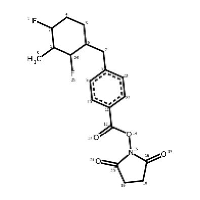 CC1C(F)CCC(Cc2ccc(C(=O)ON3C(=O)CCC3=O)cc2)C1F